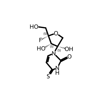 O=c1[nH]c(=S)ccn1[C@]1(O)CO[C@](F)(CO)[C@H]1O